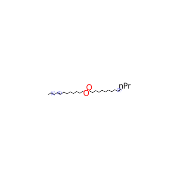 C/C=C/C=C/CCCCCCCOC(=O)CCCCCCCC/C=C\CCC